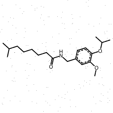 COc1cc(CNC(=O)CCCCCC(C)C)ccc1OC(C)C